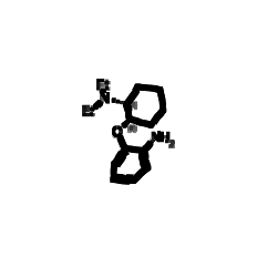 CCN(CC)[C@@H]1CCCC[C@H]1Oc1ccccc1N